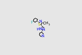 Cc1nc(-c2cccc(F)c2)sc1-c1cnc(-c2cccnc2)[nH]1